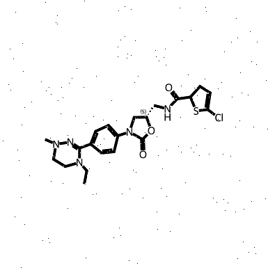 CCN1CCN(C)N=C1c1ccc(N2C[C@H](CNC(=O)C3CC=C(Cl)S3)OC2=O)cc1